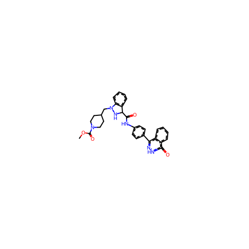 COC(=O)N1CCC(CN2NC(C(=O)Nc3ccc(-c4n[nH]c(=O)c5ccccc45)cc3)c3ccccc32)CC1